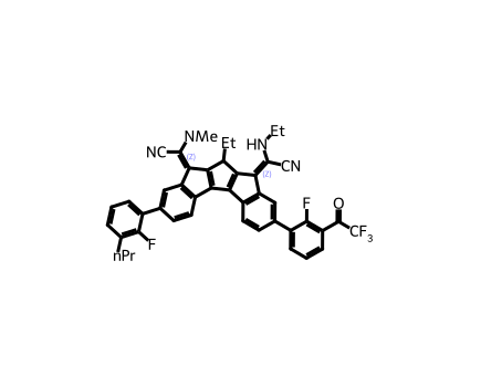 CCCc1cccc(-c2ccc3c(c2)/C(=C(\C#N)NC)C2=C3C3=C(/C(=C(/C#N)NCC)c4cc(-c5cccc(C(=O)C(F)(F)F)c5F)ccc43)C2CC)c1F